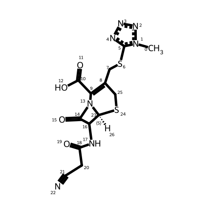 Cn1nnnc1SCC1=C(C(=O)O)N2C(=O)C(NC(=O)CC#N)[C@@H]2SC1